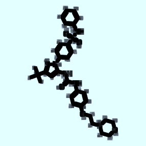 CC(C)(C)c1cc(NC(=O)Nc2ccc(OCCN3CCOCC3)cc2)n(-c2ccc(S(=O)(=O)Nc3ccccc3)cc2)n1